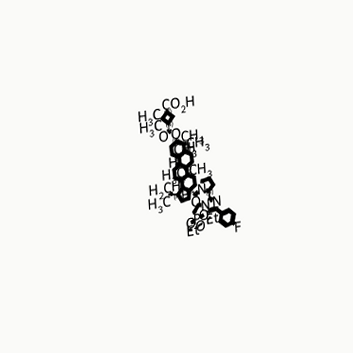 C=C(C)[C@@H]1CC[C@]2(C(=O)N3CCC[C@H]3c3nc(-c4ccc(F)cc4)cn3CCP(=O)(OCC)OCC)CC[C@]3(C)[C@H](CC[C@@H]4[C@@]5(C)CC[C@H](OC(=O)[C@H]6C[C@@H](C(=O)O)C6(C)C)C(C)(C)[C@@H]5CC[C@]43C)[C@@H]12